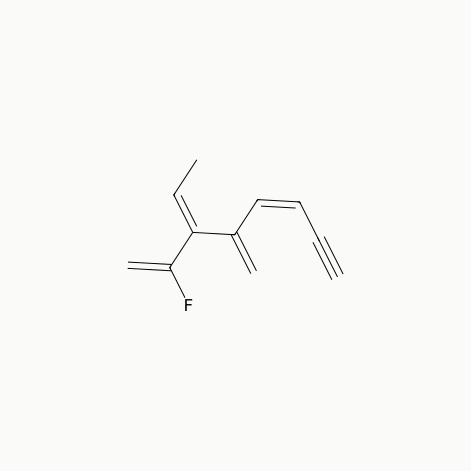 C#C/C=C\C(=C)/C(=C\C)C(=C)F